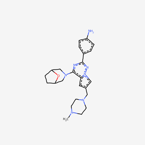 CN1CCN(Cc2cc3c(N4CC5CCC(C4)O5)nc(-c4ccc(N)cc4)nn3c2)CC1